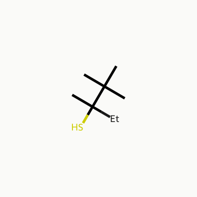 CCC(C)(S)C(C)(C)C